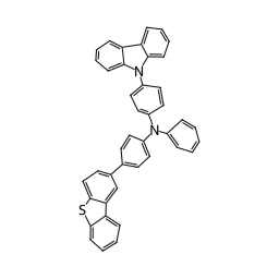 c1ccc(N(c2ccc(-c3ccc4sc5ccccc5c4c3)cc2)c2ccc(-n3c4ccccc4c4ccccc43)cc2)cc1